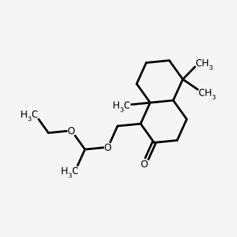 CCOC(C)OCC1C(=O)CCC2C(C)(C)CCCC12C